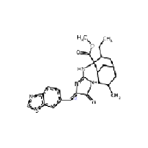 CCC1CC2CC(C)CC(C2)C1(NC1=N/C(=C\c2ccc3ncsc3c2)C(=O)N1)C(=O)OC